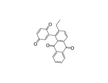 CCc1ccc2c(c1C1=CC(=O)C=CC1=O)C(=O)c1ccccc1C2=O